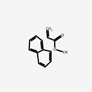 C=CC(=O)OC#N.c1ccc2ccccc2c1